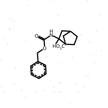 O=C(NC1(C(=O)O)CC2CC[C]1C2)OCc1ccccc1